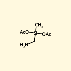 CC(=O)O[Si](C)(CN)OC(C)=O